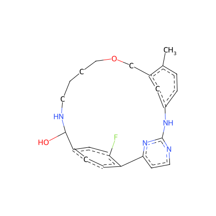 Cc1ccc2cc1COCCCCNC(O)c1ccc(c(F)c1)-c1ccnc(n1)N2